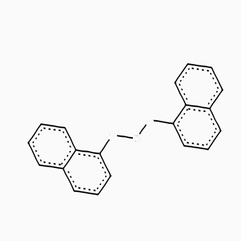 c1ccc2c([O][Zr][O]c3cccc4ccccc34)cccc2c1